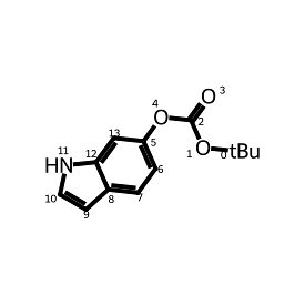 CC(C)(C)OC(=O)Oc1ccc2cc[nH]c2c1